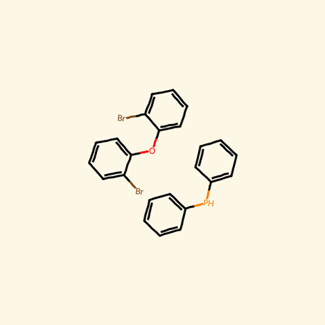 Brc1ccccc1Oc1ccccc1Br.c1ccc(Pc2ccccc2)cc1